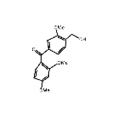 COc1ccc(C(=O)c2ccc(CO)c(OC)c2)c(OC)c1